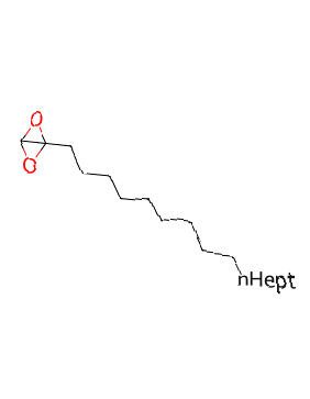 CCCCCCCCCCCCCCCCC12OC1O2